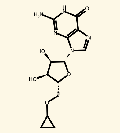 Nc1nc2c(ncn2[C@@H]2O[C@H](COC3CC3)[C@@H](O)[C@H]2O)c(=O)[nH]1